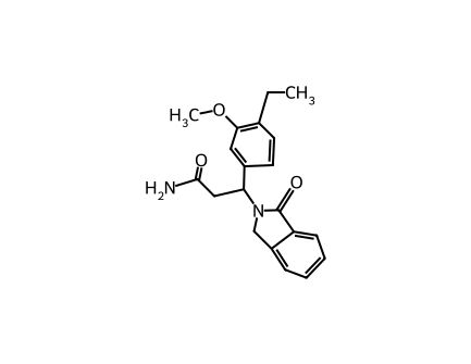 CCc1ccc(C(CC(N)=O)N2Cc3ccccc3C2=O)cc1OC